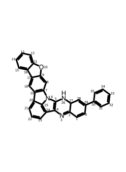 C1=CC2=Nc3c(n4c5cc6oc7ccccc7c6cc5c5cccc3c54)NC2C=C1c1ccccc1